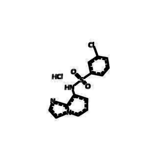 Cl.O=S(=O)(Nc1cccn2ccnc12)c1cccc(Cl)c1